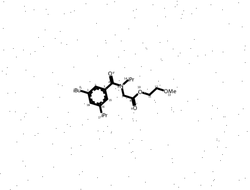 CCC(C)c1cc(C(=O)N(CC(=O)OCCOC)C(C)C)cc(C(C)C)c1